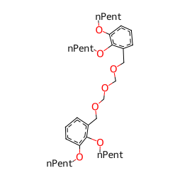 CCCCCOc1cccc(COCOCOCc2cccc(OCCCCC)c2OCCCCC)c1OCCCCC